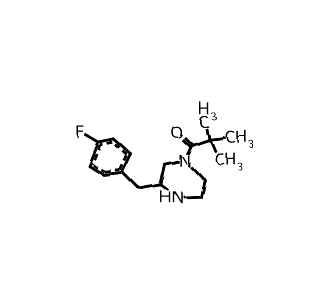 CC(C)(C)C(=O)N1CCNC(Cc2ccc(F)cc2)C1